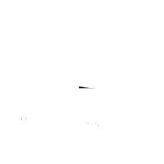 CN[C@H]1CCc2ccccc2[C@@H]1c1cccc(OC)c1